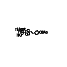 CCCCCCCC(OC(=O)/C=C/c1ccc(OC)cc1)C(=O)C(O)CO